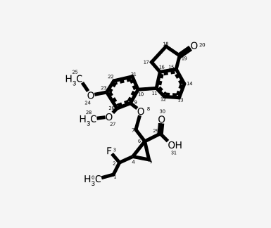 CCC(F)C1CC1(COc1c(-c2cccc3c2CCC3=O)ccc(OC)c1OC)C(=O)O